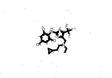 CCN(CCC1CC1)Cc1sc(Nc2c(Cl)cc(Cl)cc2Cl)nc1C(F)(F)F